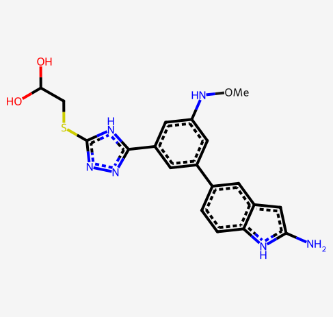 CONc1cc(-c2ccc3[nH]c(N)cc3c2)cc(-c2nnc(SCC(O)O)[nH]2)c1